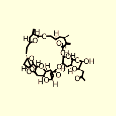 C=C1C[C@@H]2CC[C@@]34C[C@H]5OC6C(O3)[C@H]3O[C@H](CC[C@@H]3O[C@H]6C5O4)CC(=O)O[C@@H]3[C@@H](C)[C@@H]4O[C@H](CC(C)=O)[C@H](O)C[C@@H]4O[C@H]3C[C@H]3O[C@@H](CC[C@@H]1O2)C[C@@H](C)C3=C